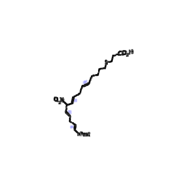 CCCCC/C=C/C/C=C/C(/C=C/C/C=C/CCCCSCCC(=O)O)[N+](=O)[O-]